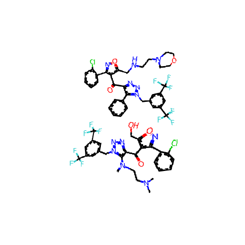 CN(C)CCN(C)c1c(C(=O)c2c(-c3ccccc3Cl)noc2CO)nnn1Cc1cc(C(F)(F)F)cc(C(F)(F)F)c1.O=C(c1nnn(Cc2cc(C(F)(F)F)cc(C(F)(F)F)c2)c1-c1ccccc1)c1c(-c2ccccc2Cl)noc1CNCCN1CCOCC1